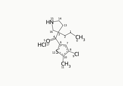 CCCC1(C(=O)c2cc(Cl)c(C)s2)CCNC1.Cl